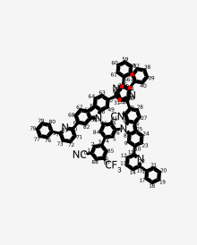 N#Cc1cc(-c2cc(-n3c4cc(-c5cccc(-c6ccccc6)n5)ccc4c4ccc(-c5cccc(-c6ccccc6)n5)cc43)c(C#N)c(-n3c4cc(-c5cccc(-c6ccccc6)n5)ccc4c4ccc(-c5cccc(-c6ccccc6)n5)cc43)c2)cc(C(F)(F)F)c1